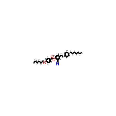 CCCCCCC[C@H]1CC[C@H](CCc2ccc(OC(=O)c3ccc(OCCCCCC)cc3)c(C#N)c2)CC1